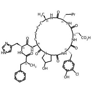 CC(C)C[C@@H]1NC(=O)[C@H](CC(=O)O)NC(=O)[C@H](Cc2ccc(O)c(Cl)c2)NC(=O)C2CC(O)CN2C(=O)[C@@H](NC(=O)[C@H](Cc2c[nH]cn2)NC(=O)[C@@H](C)Cc2ccccc2)CSSC[C@@H](C)NC1=O